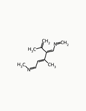 C=N/C=C(C(=C)C)/C(C)=C/C=N\C